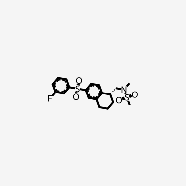 CN(C[C@@H]1CCCc2cc(S(=O)(=O)c3cccc(F)c3)ccc21)S(C)(=O)=O